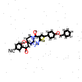 N#Cc1ccc2c(c1)C(=O)CC1(CCN(C(=O)c3cc(-c4ccc(OCc5ccccc5)cc4)sc3N)CC1)O2